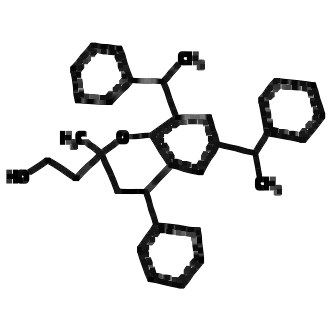 CC(c1ccccc1)c1cc(C(C)c2ccccc2)c2c(c1)C(c1ccccc1)CC(C)(CCO)O2